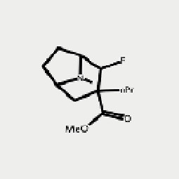 CCCC1(C(=O)OC)CC2CCC(C1F)N2C